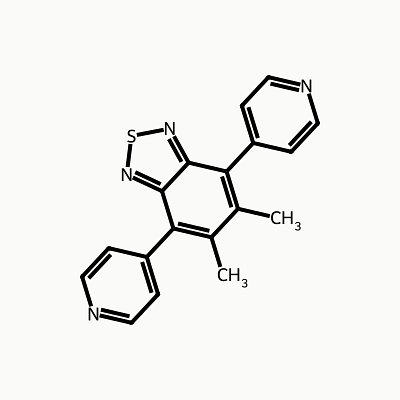 Cc1c(C)c(-c2ccncc2)c2nsnc2c1-c1ccncc1